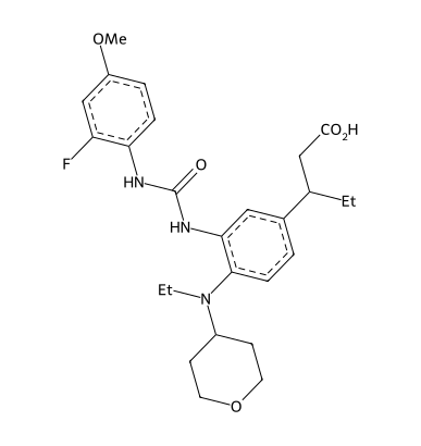 CCC(CC(=O)O)c1ccc(N(CC)C2CCOCC2)c(NC(=O)Nc2ccc(OC)cc2F)c1